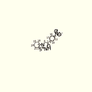 N=c1sc2c(n1CC(=O)c1ccc([N+](=O)[O-])cc1)CCCC2